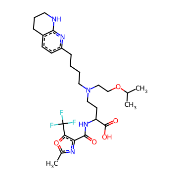 Cc1nc(C(=O)NC(CCN(CCCCc2ccc3c(n2)NCCC3)CCOC(C)C)C(=O)O)c(C(F)(F)F)o1